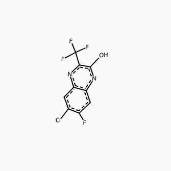 Oc1nc2cc(F)c(Cl)cc2nc1C(F)(F)F